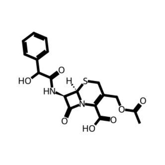 CC(=O)OCC1=C(C(=O)O)N2C(=O)[C@@H](NC(=O)C(O)c3ccccc3)[C@H]2SC1